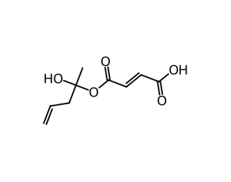 C=CCC(C)(O)OC(=O)C=CC(=O)O